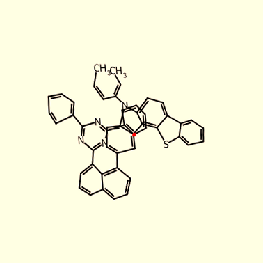 C/C=C\C(=C/C)n1c2ccc(-c3cccc4cccc(-c5nc(-c6ccccc6)nc(-c6ccccc6)n5)c34)cc2c2c3sc4ccccc4c3ccc21